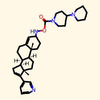 C[C@]12CCC(NOC(=O)N3CCC(N4CCCCC4)CC3)C=C1CC[C@H]1[C@@H]2CC[C@]2(C)C(c3cccnc3)=CC[C@@H]12